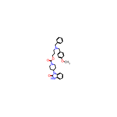 COc1ccc(CN(CCCOC(=O)N2CCC(n3c(=O)[nH]c4ccccc43)CC2)Cc2ccccc2)cc1